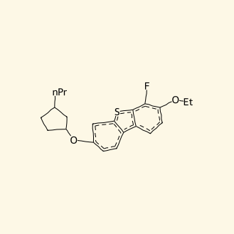 CCCC1CCC(Oc2ccc3c(c2)sc2c(F)c(OCC)ccc23)C1